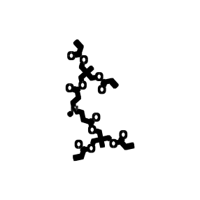 C=CC(=O)OCC(C)(COC(=O)C=C)COC(=O)CCN(C)CCC(=O)OCC(C)(COC(=O)C=C)COC(=O)C=C